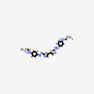 CCNc1ccc(/N=N/c2ncc(-c3cnc(/N=N/c4ccc(NCC)cc4)s3)s2)cc1